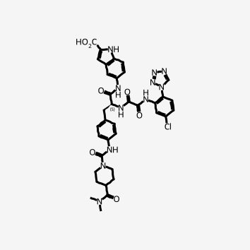 CN(C)C(=O)C1CCN(C(=O)Nc2ccc(C[C@H](NC(=O)C(=O)Nc3cc(Cl)ccc3-n3cnnn3)C(=O)Nc3ccc4[nH]c(C(=O)O)cc4c3)cc2)CC1